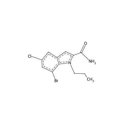 CCCn1c(C(N)=O)cc2cc(Cl)cc(Br)c21